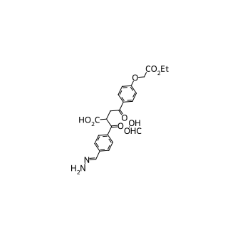 CCOC(=O)COc1ccc(C(=O)CC(C(=O)O)C(=O)c2ccc(C=NN)cc2)cc1.O=CO